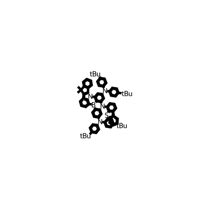 CC(C)(C)c1ccc(N(c2ccc(C(C)(C)C)cc2)c2ccc3c(c2)N(c2cccc4c2sc2ccccc24)c2cc(N(c4ccc(C(C)(C)C)cc4)c4ccc(C(C)(C)C)cc4)cc4c2B3c2cccc3c5c(n-4c23)-c2ccccc2C5(C)C)cc1